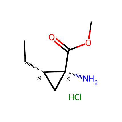 CC[C@H]1C[C@]1(N)C(=O)OC.Cl